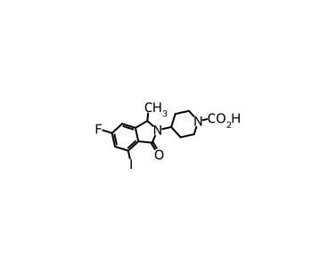 CC1c2cc(F)cc(I)c2C(=O)N1C1CCN(C(=O)O)CC1